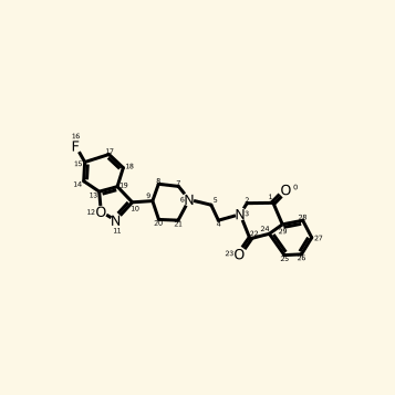 O=C1CN(CCN2CCC(c3noc4cc(F)ccc34)CC2)C(=O)c2ccccc21